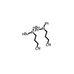 CC(C)N(CCCC#N)C(C)C.CCCCN(CCCC)CCCC#N